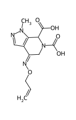 C=CCON=C1CN(C(=O)O)C(C(=O)O)c2c1cnn2C